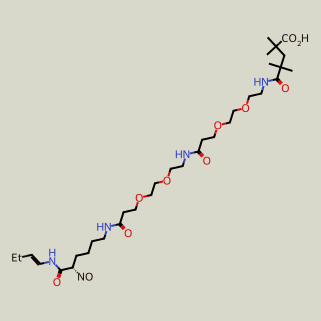 CC/C=C/NC(=O)[C@H](CCCCNC(=O)CCOCCOCCNC(=O)CCOCCOCCNC(=O)C(C)(C)CC(C)(C)C(=O)O)N=O